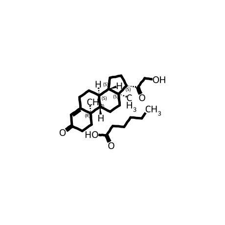 CCCCCC(=O)O.C[C@]12CC[C@H]3[C@@H](CCC4=CC(=O)CC[C@@]43C)[C@@H]1CC[C@@H]2C(=O)CO